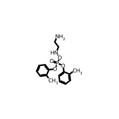 Cc1ccccc1OP(=O)(ONCCN)Oc1ccccc1C